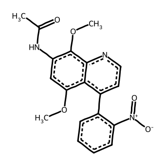 COc1c(NC(C)=O)cc(OC)c2c(-c3ccccc3[N+](=O)[O-])ccnc12